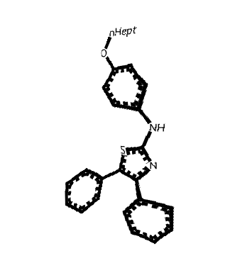 CCCCCCCOc1ccc(Nc2nc(-c3ccccc3)c(-c3ccccc3)s2)cc1